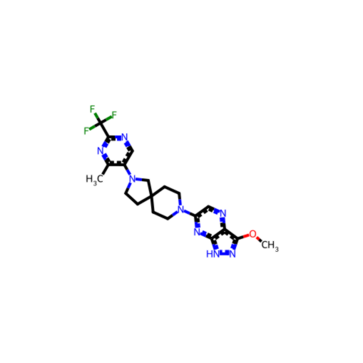 COc1n[nH]c2nc(N3CCC4(CC3)CCN(c3cnc(C(F)(F)F)nc3C)C4)cnc12